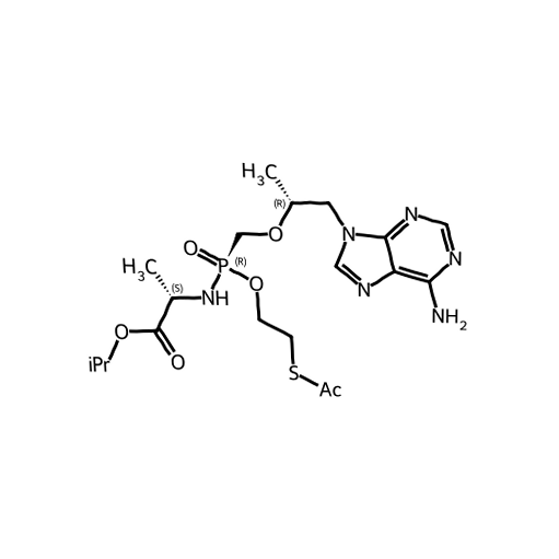 CC(=O)SCCO[P@](=O)(CO[C@H](C)Cn1cnc2c(N)ncnc21)N[C@@H](C)C(=O)OC(C)C